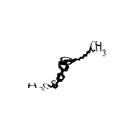 CCCCCCCCCCCOc1ccc(-c2ccc(-c3ccc(CCC)s3)cc2)cc1